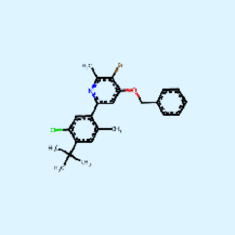 Cc1cc(C(C)(C)C)c(Cl)cc1-c1cc(OCc2ccccc2)c(Br)c(C)n1